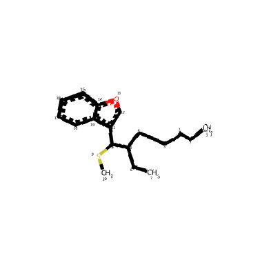 CCCCCC(CC)[C](SC)c1coc2ccccc12